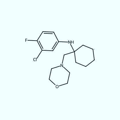 Fc1ccc(NC2(CN3CCOCC3)C[CH]CCC2)cc1Cl